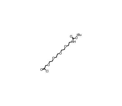 CC(C)(C)OC(=O)NCCOCCOCCOCCOCC(=O)Cl